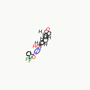 C[C@]12CC[C@](O)(CN3CCN(C(=O)c4ccccc4C(F)(F)F)CC3)C[C@@H]1CC[C@@H]1[C@@H]2CC[C@]2(C)C(=O)CC[C@@H]12